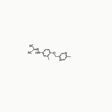 Cc1cnc(COc2ccc(NN=C(C#N)C#N)cc2C)cn1